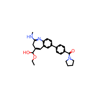 CCOC(O)C1=Cc2cc(-c3ccc(C(=O)N4CCCC4)cc3)ccc2N=C(NC)C1